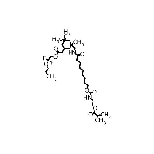 C=C(C)C(=O)OCCNC(=O)OCCCCCCCCC(=O)NCC1(C)CC(CC(=O)OCC(F)(F)OCCC)CC(C)(C)C1